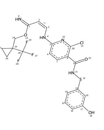 N=C(/C=C\Nc1ccc(C(=O)NSc2cccc(O)c2)c(Cl)n1)OCC1(C(F)(F)F)CC1